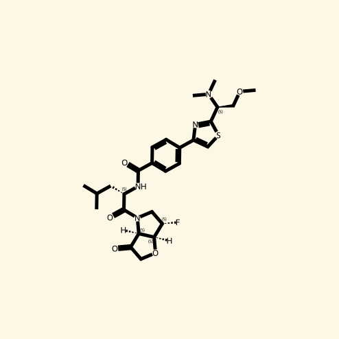 COC[C@@H](c1nc(-c2ccc(C(=O)N[C@@H](CC(C)C)C(=O)N3C[C@H](F)[C@H]4OCC(=O)[C@H]43)cc2)cs1)N(C)C